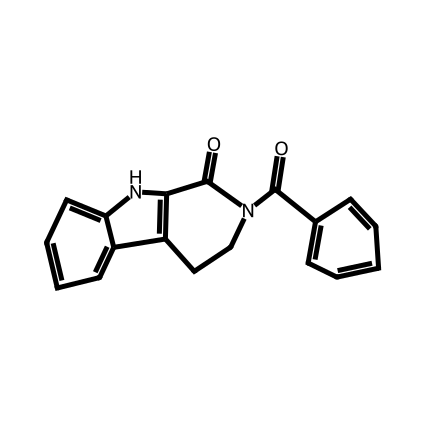 O=C(c1ccccc1)N1CCc2c([nH]c3ccccc23)C1=O